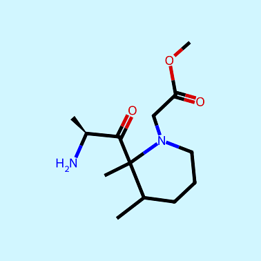 COC(=O)CN1CCCC(C)C1(C)C(=O)[C@H](C)N